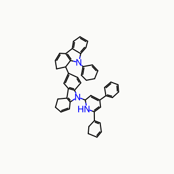 C1=CCCC(C2=CC(c3ccccc3)=CC(n3c4c(c5cc(C6CC=Cc7c6n(C6=CCCC=C6)c6ccccc76)ccc53)CCC=C4)N2)=C1